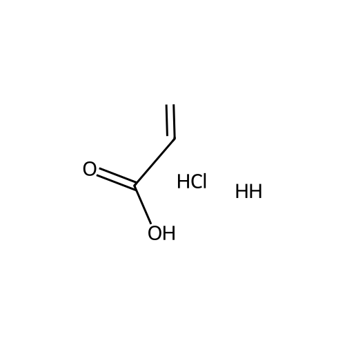 C=CC(=O)O.Cl.[HH]